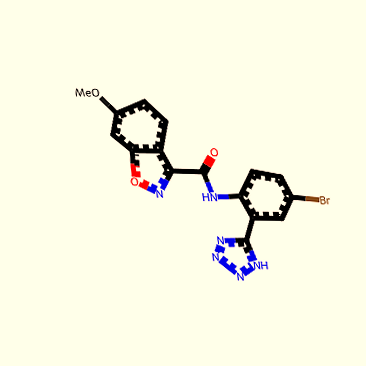 COc1ccc2c(C(=O)Nc3ccc(Br)cc3-c3nnn[nH]3)noc2c1